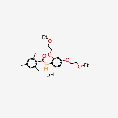 CCOCCOc1ccc(PC(=O)c2c(C)cc(C)cc2C)c(OCCOCC)c1.[LiH]